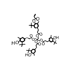 C=CC(=O)Oc1c(C)cc(CCC(=O)OCC(COC(=O)CCc2cc(C)c(O)c(C(C)(C)C)c2)(COC(=O)CCc2cc(C)c(O)c(C(C)(C)C)c2)OC(=O)CCc2cc(C)c(O)c(C(C)(C)C)c2)cc1C(C)(C)C